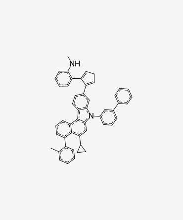 CNc1ccccc1C1=CCC=C1c1ccc2c3c4cccc(-c5ccccc5C)c4c(C4CC4)cc3n(-c3cccc(-c4ccccc4)c3)c2c1